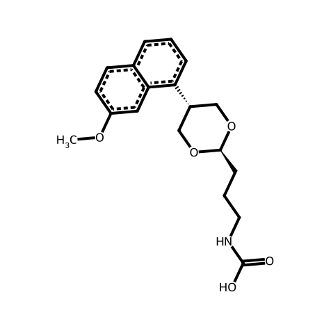 COc1ccc2cccc([C@H]3CO[C@H](CCCNC(=O)O)OC3)c2c1